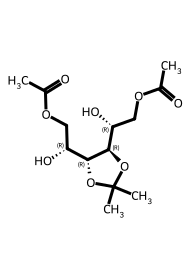 CC(=O)OC[C@@H](O)[C@H]1OC(C)(C)O[C@@H]1[C@H](O)COC(C)=O